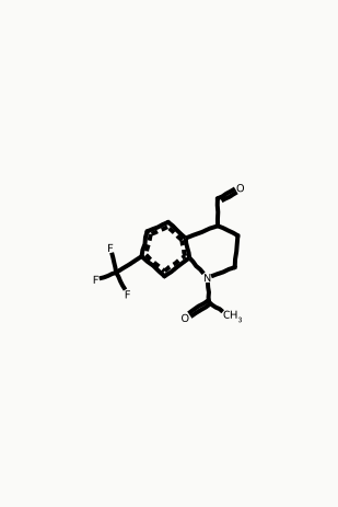 CC(=O)N1CCC(C=O)c2ccc(C(F)(F)F)cc21